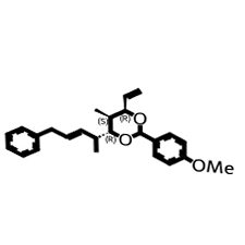 C=C[C@H]1OC(c2ccc(OC)cc2)O[C@H](C(C)C=CCc2ccccc2)[C@H]1C